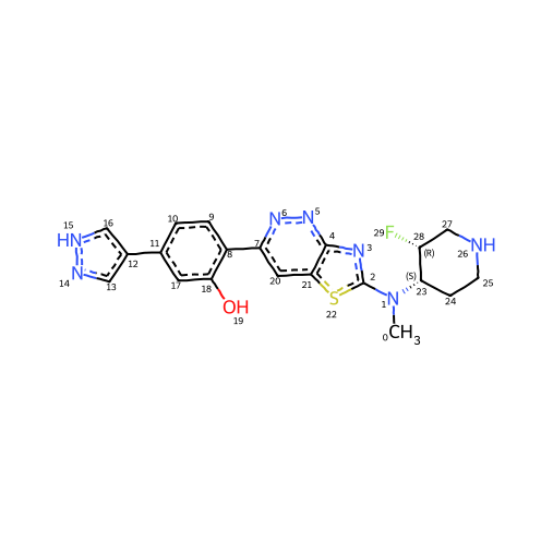 CN(c1nc2nnc(-c3ccc(-c4cn[nH]c4)cc3O)cc2s1)[C@H]1CCNC[C@H]1F